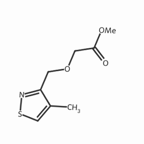 COC(=O)COCc1nscc1C